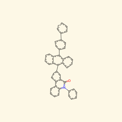 O=c1c2cc(-c3c4ccccc4c(-c4ccc(-c5ccccc5)cc4)c4ccccc34)ccc2c2ccccc2n1-c1ccccc1